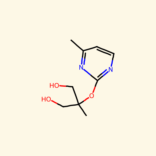 Cc1ccnc(OC(C)(CO)CO)n1